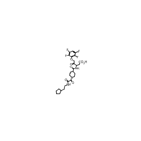 O=C(O)CC(NC(=O)C1CCN(C(=O)C(=O)NCCC2CCCC2)CC1)C(=O)COc1c(F)c(F)cc(F)c1F